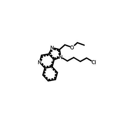 CCOCc1nc2cnc3ccccc3c2n1CCCCCl